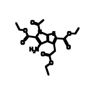 CCOC(=O)Cc1c(C(=O)OCC)sc2c1c(N)c(C(=O)OCC)n2C(C)=O